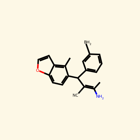 Bc1cccc(C(/C(C#N)=C(\C)N)c2ccc3occc3c2C)c1